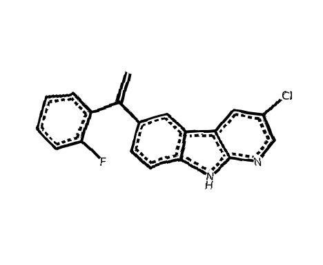 C=C(c1ccc2[nH]c3ncc(Cl)cc3c2c1)c1ccccc1F